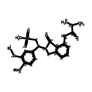 CCOc1cc([C@@H](CS(C)(=O)=O)N2Cc3cccc(NC(=O)N(C)C)c3C2=O)ccc1OC